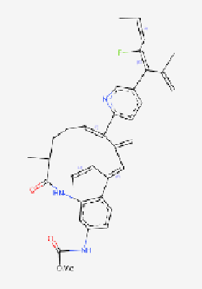 C=C(C)/C(=C(F)\C=C/C)c1ccc(/C2=C/CCC(C)C(=O)Nc3cc(NC(=O)OC)ccc3C(/C=C\C)=C/C2=C)nc1